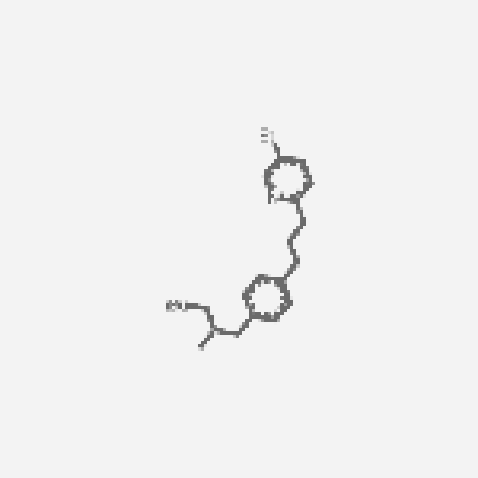 CCc1ccc(CCCc2ccc(CC(C)CC(C)CC)cc2)nc1